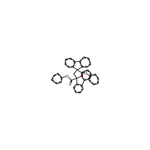 O=C(Oc1ccccc1)C1(CC2(C(=O)Oc3ccccc3)c3ccccc3-c3ccccc32)c2ccccc2-c2ccccc21